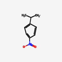 [CH2]C(C)c1ccc([N+](=O)[O-])cc1